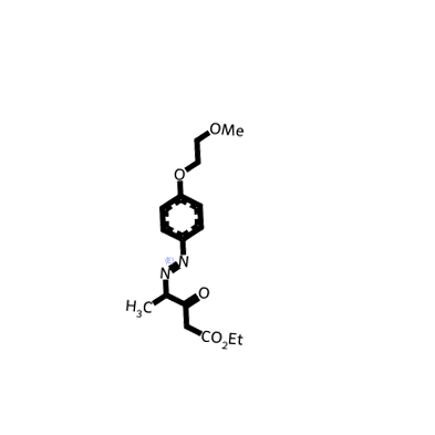 CCOC(=O)CC(=O)C(C)/N=N/c1ccc(OCCOC)cc1